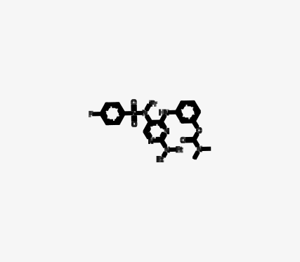 CCN(CC)c1ncc(N(C(C)C)S(=O)(=O)c2ccc(F)cc2)c(Nc2[c]c(OC(=O)N(C)C)ccc2)n1